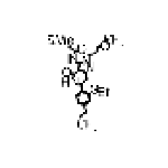 CCOc1cc(CCC(F)(F)F)ccc1C1Cc2nn(CCCOC(F)(F)F)c(NC(=O)CSC)c2C(=O)N1